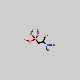 CCCCN(CCCC)C(C)C[Si](OCC)(OCC)OCC